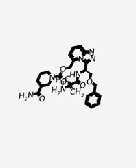 CC(C)(N)C(=O)N[C@H](COCc1ccccc1)c1nnc2cccc(COC(=O)N3CCCC(C(N)=O)C3)n12